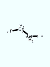 [F][GeH2][GeH2][F]